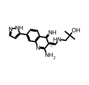 CC(C)(O)CN/C=C1\C(=N)c2ccc(-c3ccn[nH]3)cc2N=C1N